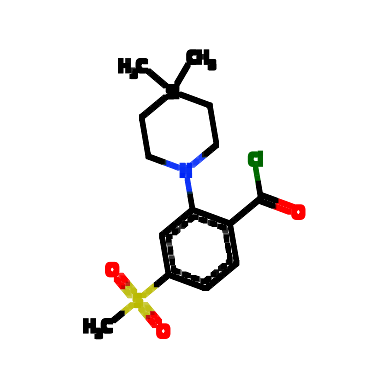 C[Si]1(C)CCN(c2cc(S(C)(=O)=O)ccc2C(=O)Cl)CC1